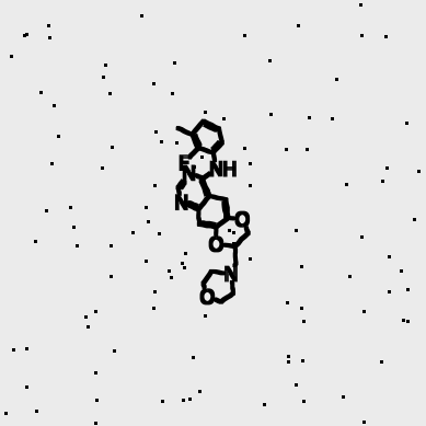 Cc1cccc(Nc2ncnc3cc4c(cc23)OCC(CN2CCOCC2)O4)c1F